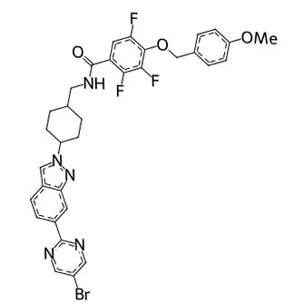 COc1ccc(COc2c(F)cc(C(=O)NCC3CCC(n4cc5ccc(-c6ncc(Br)cn6)cc5n4)CC3)c(F)c2F)cc1